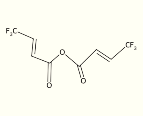 O=C(C=CC(F)(F)F)OC(=O)C=CC(F)(F)F